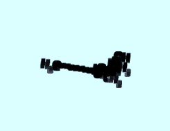 CCCCCCCCCCCCCCCCCCOC(=O)CC[C@@H](C)[C@H]1CC[C@H]2[C@@H]3CCC4C[C@H](O)CC[C@]4(C)[C@H]3CC[C@]12C